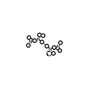 C1#CCc2ccccc2C(N(c2ccc(-c3ccc(N(c4ccc5c(c4)c4ccccc4n5-c4ccccc4)c4cccc5ccccc45)cc3)cc2)c2ccc3c(c2)c2ccccc2n3-c2ccccc2)=C1